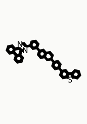 C1=CC(c2ccc(-c3ccc4sc5ccccc5c4c3)cc2)Cc2ccc(-c3cccc(-c4cnc5c6ccccc6c6ccccc6c5n4)c3)cc21